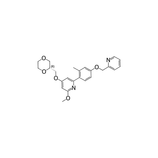 COc1cc(OC[C@H]2COCCO2)cc(-c2ccc(OCc3ccccn3)cc2C)n1